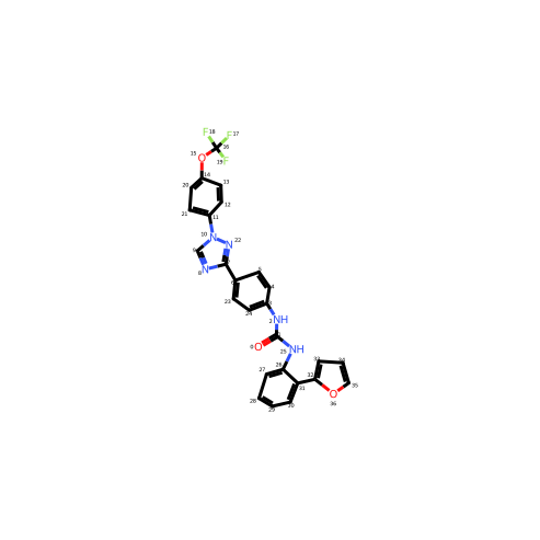 O=C(Nc1ccc(-c2ncn(-c3ccc(OC(F)(F)F)cc3)n2)cc1)Nc1ccccc1-c1ccco1